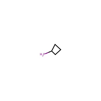 PC1CCC1